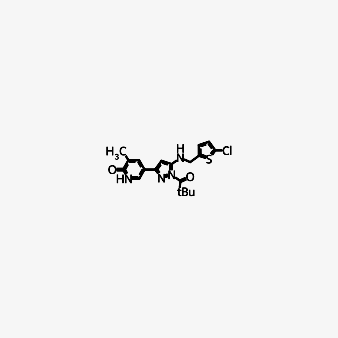 Cc1cc(-c2cc(NCc3ccc(Cl)s3)n(C(=O)C(C)(C)C)n2)c[nH]c1=O